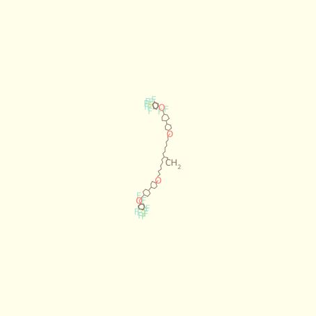 C=CC(CCCCCCCOC1CCC(C2CCC(C(F)(F)Oc3cc(F)c(S(F)(F)(F)(F)F)c(F)c3)CC2)CC1)CCCCCCCOC1CCC(C2CCC(C(F)(F)Oc3cc(F)c(S(F)(F)(F)(F)F)c(F)c3)CC2)CC1